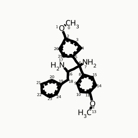 COc1ccc(C(N)(c2ccc(OC)cc2)C(N)Cc2ccccc2)cc1